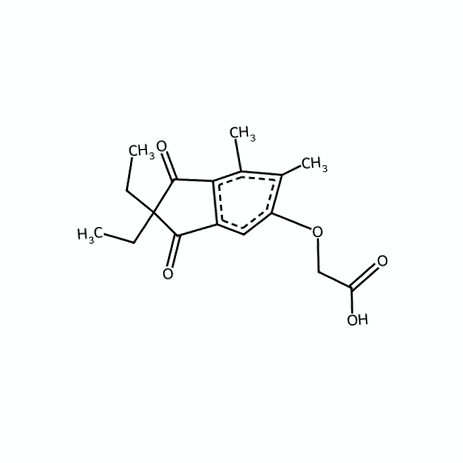 CCC1(CC)C(=O)c2cc(OCC(=O)O)c(C)c(C)c2C1=O